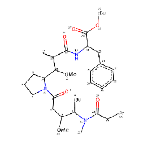 CCC(C)C(C(CC(=O)N1CCCC1C(OC)C(C)C(=O)NC(Cc1ccccc1)C(=O)OC(C)(C)C)OC)N(C)C(=O)CC(C)C